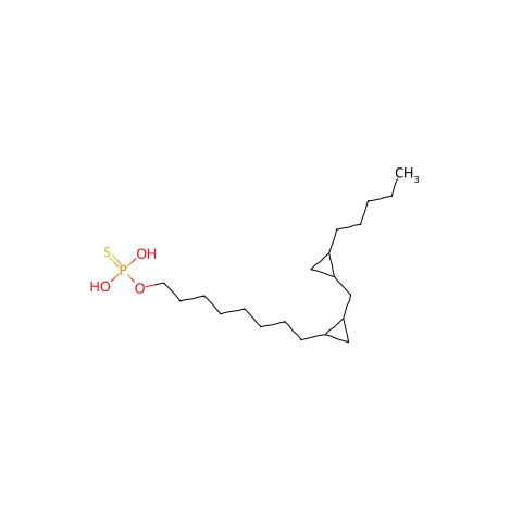 CCCCCC1CC1CC1CC1CCCCCCCCOP(O)(O)=S